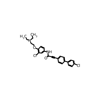 CCN(CC)CCOc1ccc(NC(=O)C#Cc2ccc(-c3ccc(Cl)cc3)cc2)cc1Cl